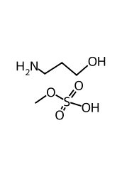 COS(=O)(=O)O.NCCCO